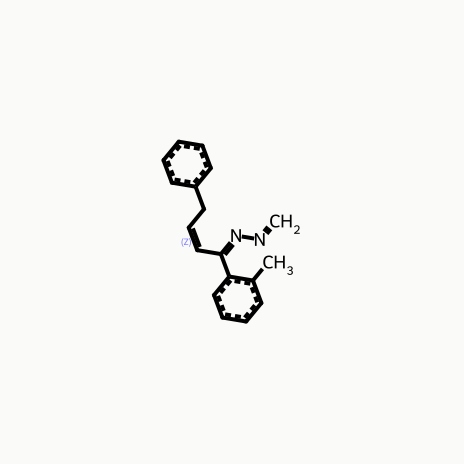 C=NN=C(/C=C\Cc1ccccc1)c1ccccc1C